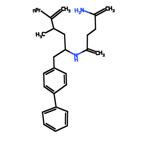 C=C(N)CCC(=C)NC(Cc1ccc(-c2ccccc2)cc1)CC(C)C(=C)CCC